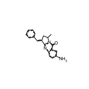 CC1C/C(=C\c2ccccc2)c2nc3ccc(N)cc3c(=O)n21